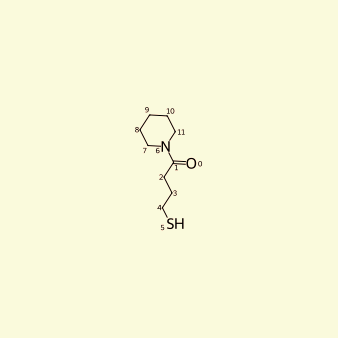 O=C(CCCS)N1CCCCC1